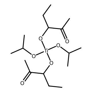 CCC([O][Ti]([O]C(C)C)([O]C(C)C)[O]C(CC)C(C)=O)C(C)=O